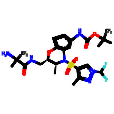 Cc1nn(C(F)F)cc1S(=O)(=O)N1c2cc(NC(=O)OC(C)(C)C(F)(F)F)ccc2O[C@@H](CNC(=O)C(C)(N)C(F)(F)F)[C@H]1C